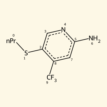 CCCSc1cnc(N)cc1C(F)(F)F